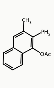 CC(=O)Oc1c(P)c(C)cc2ccccc12